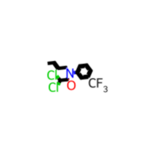 C/C=C/CN(C(=O)C(Cl)Cl)c1cccc(C(F)(F)F)c1